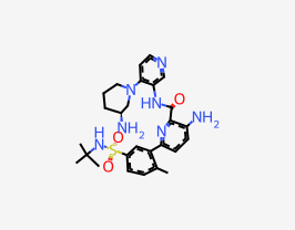 Cc1ccc(S(=O)(=O)NC(C)(C)C)cc1-c1ccc(N)c(C(=O)Nc2cnccc2N2CCC[C@H](N)C2)n1